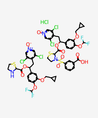 Cl.O=C(O)c1cccc(S(=O)(=O)N2CCSC2C(=O)OC(Cc2c(Cl)c[n+]([O-])cc2Cl)c2ccc(OC(F)F)c(OCC3CC3)c2)c1.O=C(OC(Cc1c(Cl)c[n+]([O-])cc1Cl)c1ccc(OC(F)F)c(OCC2CC2)c1)C1NCCS1